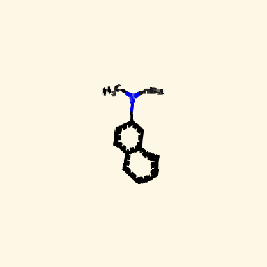 CCCCN(C)c1ccc2ccccc2c1